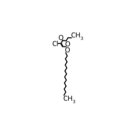 CCCCCCCCCCCCCCCCOC1C=C(Cl)C(=O)C(CCC)O1